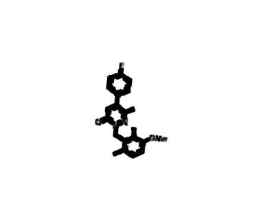 COc1ccc(C)c(Cn2nc(C)c(-c3ccc(F)cc3)cc2=O)c1C